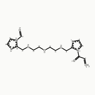 C=CC(=O)n1ccnc1COCCOCCOCc1nccn1C=O